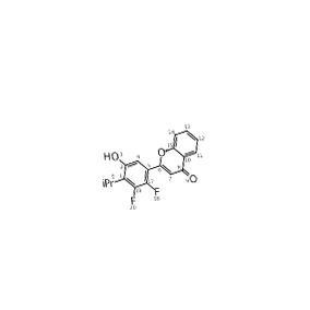 CC(C)c1c(O)cc(-c2cc(=O)c3ccccc3o2)c(F)c1F